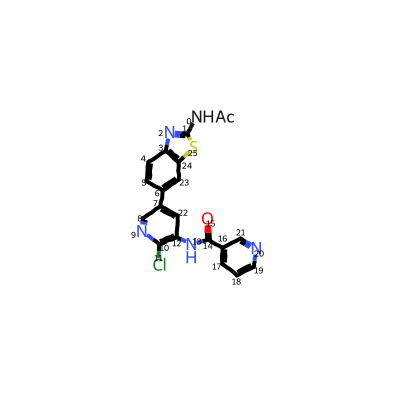 CC(=O)Nc1nc2ccc(-c3cnc(Cl)c(NC(=O)c4cccnc4)c3)cc2s1